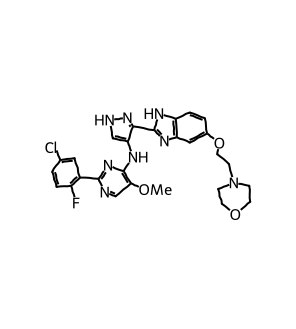 COc1cnc(-c2cc(Cl)ccc2F)nc1Nc1c[nH]nc1-c1nc2cc(OCCN3CCOCC3)ccc2[nH]1